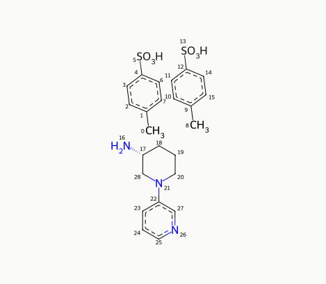 Cc1ccc(S(=O)(=O)O)cc1.Cc1ccc(S(=O)(=O)O)cc1.N[C@@H]1CCCN(c2cccnc2)C1